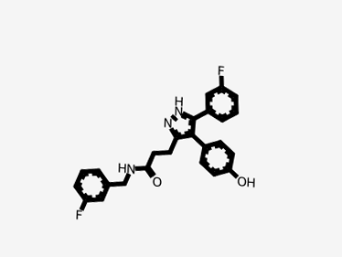 O=C(CCc1n[nH]c(-c2cccc(F)c2)c1-c1ccc(O)cc1)NCc1cccc(F)c1